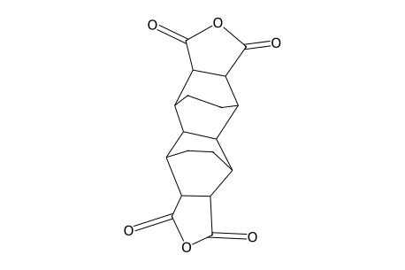 O=C1OC(=O)C2C3CCC(C12)C1C2CCC(C4C(=O)OC(=O)C24)C31